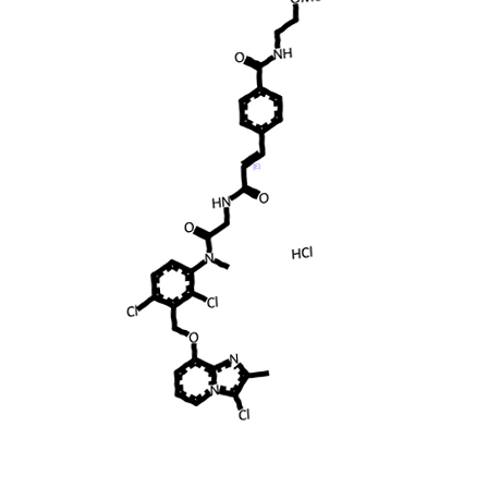 COCCNC(=O)c1ccc(/C=C/C(=O)NCC(=O)N(C)c2ccc(Cl)c(COc3cccn4c(Cl)c(C)nc34)c2Cl)cc1.Cl